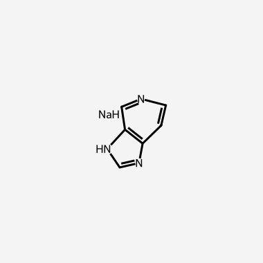 [NaH].c1cc2nc[nH]c2cn1